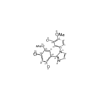 COc1ccc(-n2ccnc2-c2cc(OC)c(Cl)cc2Cl)cc1Cl